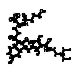 CCN(CC)CCNC(=O)c1c(C)[nH]c(/C=C2\C(=O)N(C(=O)CC[C@@H](NC(=O)CCC=O)C(=O)O)c3ccc(F)cc32)c1C